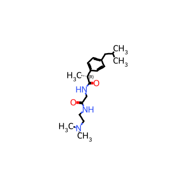 CC(C)Cc1ccc([C@@H](C)C(=O)NCC(=O)NCCN(C)C)cc1